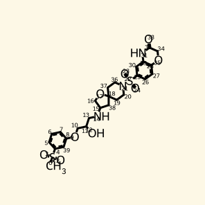 CS(=O)(=O)c1cccc(OCC(O)CNC2COC3(CCN(S(=O)(=O)c4ccc5c(c4)NC(=O)CO5)CC3)C2)c1